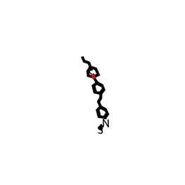 CCCC12CCC(c3ccc(CCc4ccc(N=C=S)cc4)cc3)(CC1)CC2